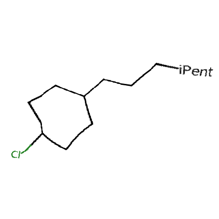 CCCC(C)CCCC1CCC(Cl)CC1